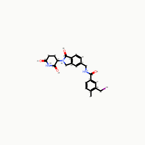 Cc1ccc(C(=O)NCc2ccc3c(c2)CN(C2CCC(=O)NC2=O)C3=O)cc1CI